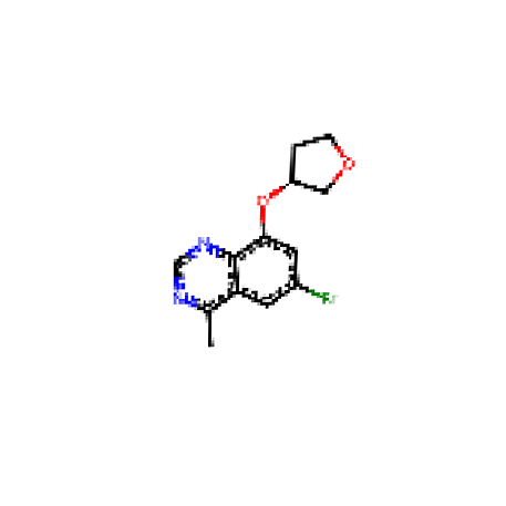 Cc1ncnc2c(O[C@H]3CCOC3)cc(Br)cc12